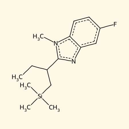 CCC(C[Si](C)(C)C)c1nc2cc(F)ccc2n1C